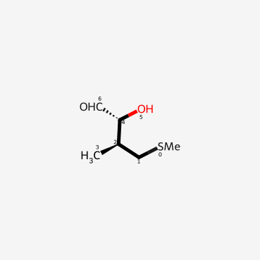 CSC[C@@H](C)[C@@H](O)C=O